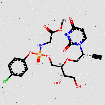 C#C[C@H](CO[C@H](COP(=O)(NCC(=O)OC(C)C)Oc1ccc(Cl)cc1)[C@@H](O)CO)n1ccc(=O)[nH]c1=O